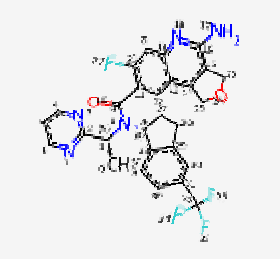 C[C@@H](c1ncccn1)N(C(=O)c1cc2c3c(c(N)nc2cc1F)COC3)[C@@H]1CCc2cc(C(F)(F)F)ccc21